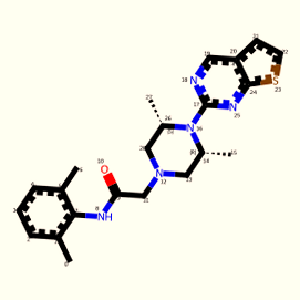 Cc1cccc(C)c1NC(=O)CN1C[C@@H](C)N(c2ncc3ccsc3n2)[C@@H](C)C1